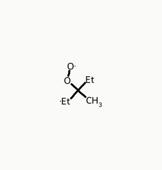 C[CH]C(C)(CC)O[O]